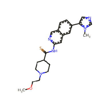 COCCN1CCC(C(=S)Nc2cc3cc(-c4cncn4C)ccc3cn2)CC1